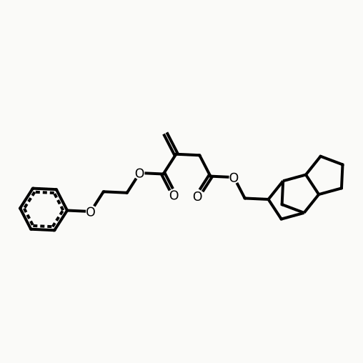 C=C(CC(=O)OCC1CC2CC1C1CCCC21)C(=O)OCCOc1ccccc1